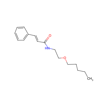 CCCCCOCCNC(=O)C=Cc1ccccc1